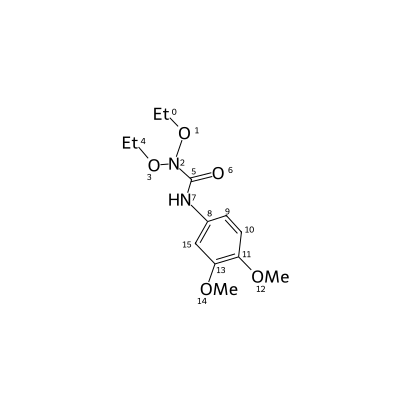 CCON(OCC)C(=O)Nc1ccc(OC)c(OC)c1